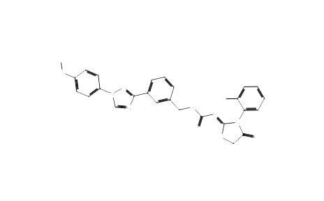 CCc1ccccc1N1C(=O)CSC1=NC(=O)NCc1cccc(-c2ncn(-c3ccc(OC(F)(F)F)cc3)n2)c1